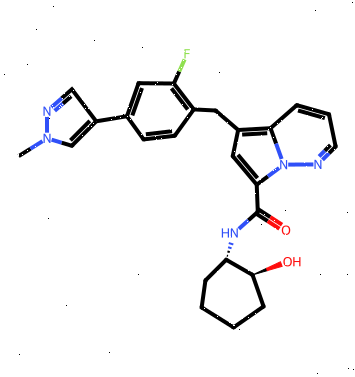 Cn1cc(-c2ccc(Cc3cc(C(=O)N[C@H]4CCCC[C@@H]4O)n4ncccc34)c(F)c2)cn1